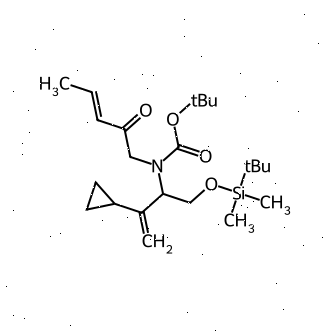 C=C(C1CC1)C(CO[Si](C)(C)C(C)(C)C)N(CC(=O)C=CC)C(=O)OC(C)(C)C